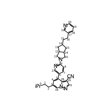 CC(C)CCc1cc(-c2ccc(N3CC4CC(CCc5cccnc5)CC4C3)nc2)c2c(C#N)cnn2c1